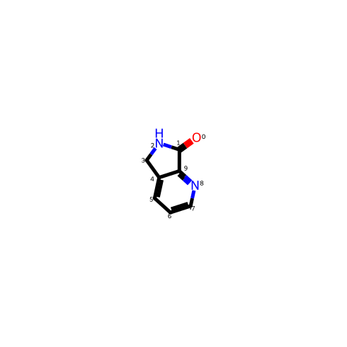 O=C1NCc2cc[c]nc21